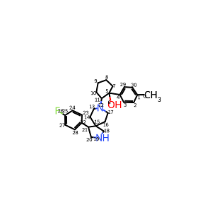 Cc1ccc(C2(O)CCCCC2N2CCC3(CC2)CNCC3c2ccc(F)cc2)cc1